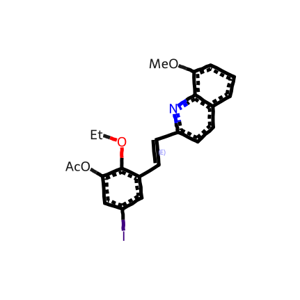 CCOc1c(/C=C/c2ccc3cccc(OC)c3n2)cc(I)cc1OC(C)=O